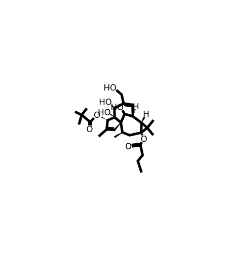 CCCC(=O)O[C@@]12C[C@@H](C)[C@]34C=C(C)[C@H](OC(=O)C(C)(C)C)[C@@]3(O)[C@H](O)C(CO)=C[C@H](C4O)[C@@H]1C2(C)C